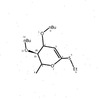 CCCCOC1C=C(SCC)OC(C)[C@H]1OCCCC